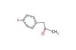 CC(=O)Cc1ccc(I)cc1